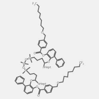 CCCCCCCC(CCC[Si](C)(C)O[Si](C)(C)O[Si](C)(C)CCCC(CCCCCCC)Oc1c(OC(=O)c2ccc(COCCCCCCCC(F)(F)F)cc2)cccc1-c1ccccc1)Oc1c(OC(=O)c2ccc(COCCCCCCCC(F)(F)F)cc2)cccc1-c1ccccc1